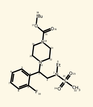 CCN(CC(c1ccccc1F)N1CCN(C(=O)OC(C)(C)C)CC1)S(C)(=O)=O